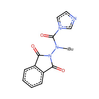 CCC(C)N(C(=O)n1ccnc1)N1C(=O)c2ccccc2C1=O